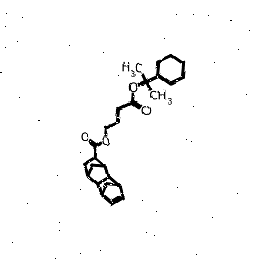 CC(C)(OC(=O)CCCOC(=O)C1CC2CC1C1C3C=CC(C3)C21)C1CCCCC1